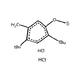 Cc1cc([O][Ti])c(C(C)(C)C)cc1C(C)(C)C.Cl.Cl